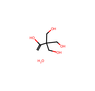 C=C(O)C(CO)(CO)CO.O